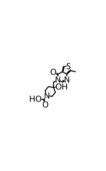 Cc1scc2c(=O)n(CC3(O)CCN(C(=O)O)CC3)cnc12